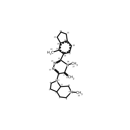 C=C1C(N2CCC3CCN(C)CC32)=NN=C(c2ccc3c(c2C)CCC3)N1C